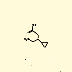 NCC(CC(=O)O)C1CC1